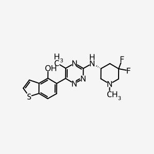 Cc1nc(N[C@H]2CN(C)CC(F)(F)C2)nnc1-c1ccc2sccc2c1O